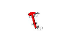 CNN(C)Cc1cc2ccccc2n1CCC(=O)NCCOCCOCCC(=O)NCCNCC(=O)O